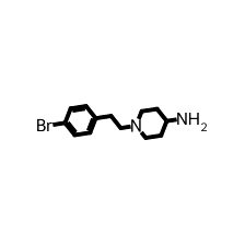 NC1CCN(CCc2ccc(Br)cc2)CC1